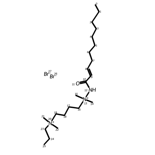 CCCCCCCCC=CC(=O)N[N+](C)(C)CCCC[N+](C)(C)CCC.[Br-].[Br-]